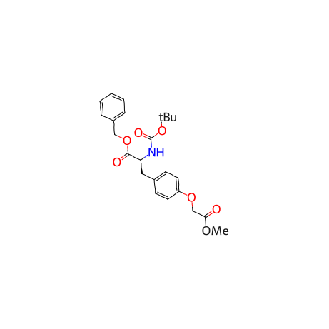 COC(=O)COc1ccc(C[C@H](NC(=O)OC(C)(C)C)C(=O)OCc2ccccc2)cc1